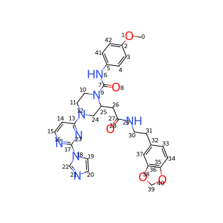 COc1ccc(NC(=O)N2CCN(c3ccnc(-n4ccnc4)n3)CC2CC(=O)NCCc2ccc3c(c2)OCO3)cc1